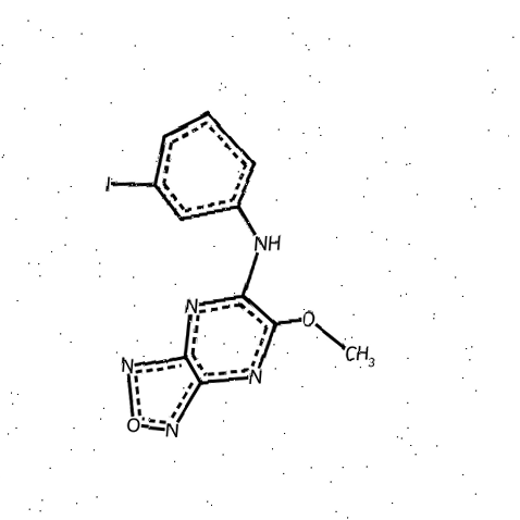 COc1nc2nonc2nc1Nc1cccc(I)c1